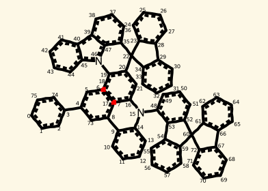 c1ccc(-c2cccc(-c3ccccc3N(c3ccc4c(c3)C3(c5ccccc5-c5ccccc53)c3cccc5c6ccccc6n-4c35)c3cccc4c3-c3ccccc3C43c4ccccc4-c4ccccc43)c2)cc1